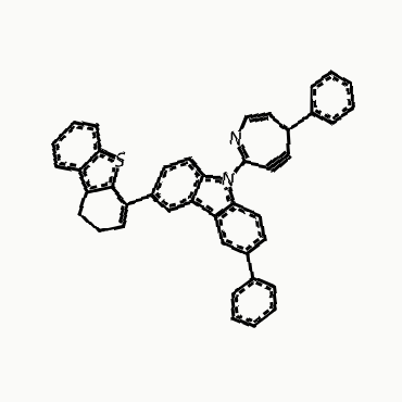 C1#CC(c2ccccc2)C=CN=C1n1c2ccc(C3=CCCc4c3sc3ccccc43)cc2c2cc(-c3ccccc3)ccc21